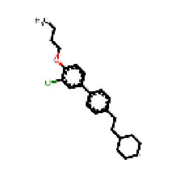 CCCCOc1ccc(-c2ccc(CCC3CC[CH]CC3)cc2)cc1Cl